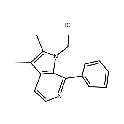 CCn1c(C)c(C)c2ccnc(-c3ccccc3)c21.Cl